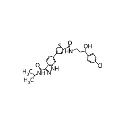 CC(C)NC(=O)c1n[nH]c2cc(-c3csc(C(=O)NCCC(O)c4ccc(Cl)cc4)c3)ccc12